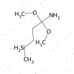 COC(N)(CC[SiH2]C)OC